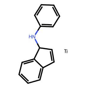 C1=CC(Nc2ccccc2)c2ccccc21.[Ti]